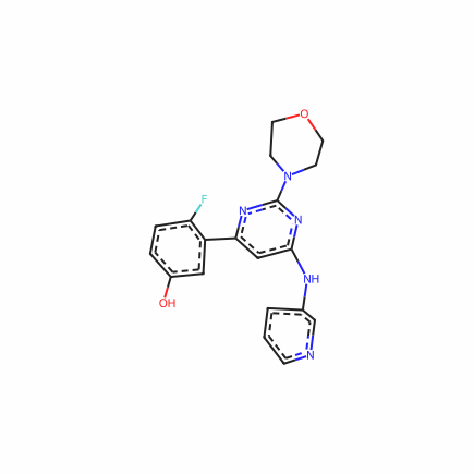 Oc1ccc(F)c(-c2cc(Nc3cccnc3)nc(N3CCOCC3)n2)c1